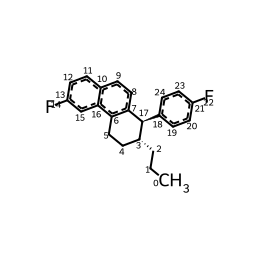 CCC[C@@H]1CCc2c(ccc3ccc(F)cc23)[C@H]1c1ccc(F)cc1